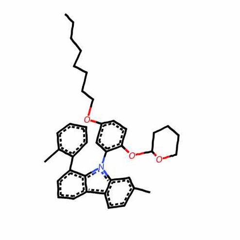 CCCCCCCCOc1ccc(OC2CCCCO2)c(-n2c3cc(C)ccc3c3cccc(-c4ccccc4C)c32)c1